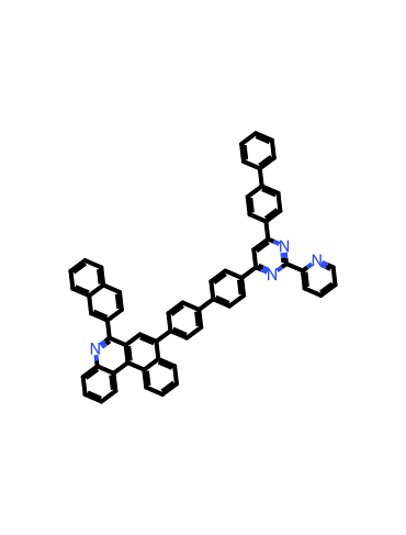 c1ccc(-c2ccc(-c3cc(-c4ccc(-c5ccc(-c6cc7c(-c8ccc9ccccc9c8)nc8ccccc8c7c7ccccc67)cc5)cc4)nc(-c4ccccn4)n3)cc2)cc1